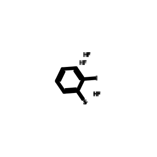 F.F.F.[S]c1ccccc1I